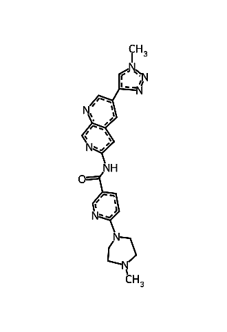 CN1CCN(c2ccc(C(=O)Nc3cc4cc(-c5cn(C)nn5)cnc4cn3)cn2)CC1